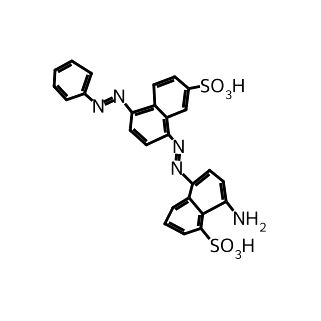 Nc1ccc(/N=N/c2ccc(/N=N/c3ccccc3)c3ccc(S(=O)(=O)O)cc23)c2cccc(S(=O)(=O)O)c12